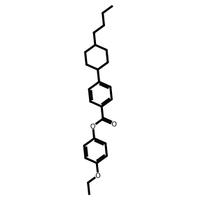 CCCCC1CCC(c2ccc(C(=O)Oc3ccc(OCC)cc3)cc2)CC1